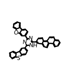 c1ccc2c(c1)ccc1c3ccc(C4=NC(c5ccc6c(c5)oc5ccccc56)=NC(c5ccc6sc7ccccc7c6c5)N4)cc3ccc21